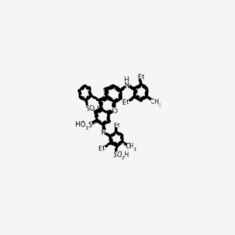 CCc1cc(C)c(S(=O)(=O)O)c(CC)c1/N=c1\cc2oc3cc(Nc4c(CC)cc(C)cc4CC)ccc3c(-c3ccccc3S(=O)(=O)O)c-2cc1S(=O)(=O)O